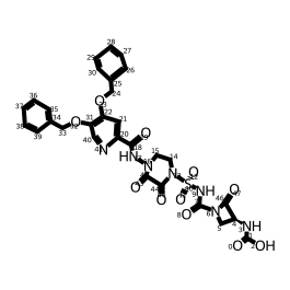 O=C(O)N[C@H]1CN(C(=O)NS(=O)(=O)N2CCN(NC(=O)c3cc(OCc4ccccc4)c(OCc4ccccc4)cn3)C(=O)C2=O)C1=O